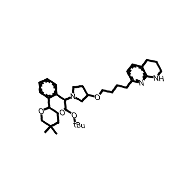 CC1(C)CCC(c2ccccc2C(C(=O)OC(C)(C)C)N2CCC(OCCCCc3ccc4c(n3)NCCC4)C2)OC1